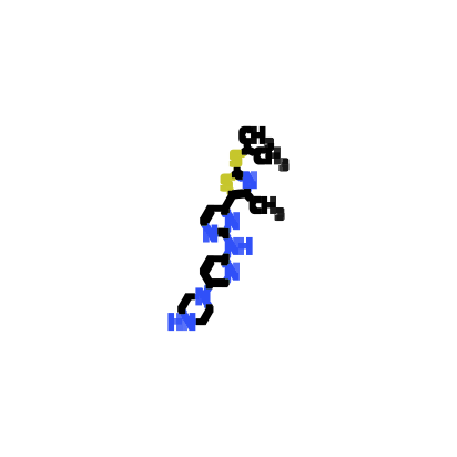 Cc1nc(SC(C)C)sc1-c1ccnc(Nc2ccc(N3CCNCC3)cn2)n1